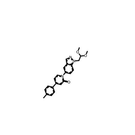 COC(Cn1ncc2cc(-n3ccc(-c4ccc(C)cc4)cc3=O)ccc21)OC